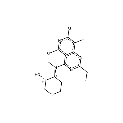 CSc1nc(N(C)[C@H]2CCOC[C@@H]2O)c2c(Cl)nc(Cl)c(F)c2n1